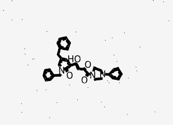 O=C(C=C(O)c1cc(Cc2ccccc2)cn(Cc2ccccc2)c1=O)C(=O)N1CCN(c2ccccc2)CC1